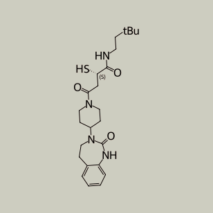 CC(C)(C)CCNC(=O)[C@@H](S)CC(=O)N1CCC(N2CCc3ccccc3NC2=O)CC1